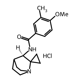 COc1ccc(C(=O)N[C@@H]2C3CCN(CC3)C23CC3)cc1C.Cl